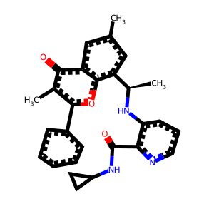 Cc1cc([C@@H](C)Nc2cccnc2C(=O)NC2CC2)c2oc(-c3ccccc3)c(C)c(=O)c2c1